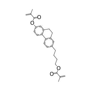 C=C(C)C(=O)OCCCCc1ccc2c(c1)CCc1cc(OC(=O)C(=C)C)ccc1-2